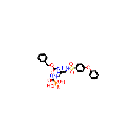 O=C(NC(CNC(=O)P(=O)(O)O)CNS(=O)(=O)c1ccc(Oc2ccccc2)cc1)OCc1ccccc1